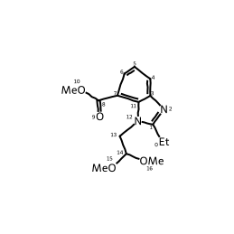 CCc1nc2cccc(C(=O)OC)c2n1CC(OC)OC